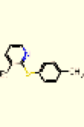 CCc1cccnc1Sc1ccc(C)cc1